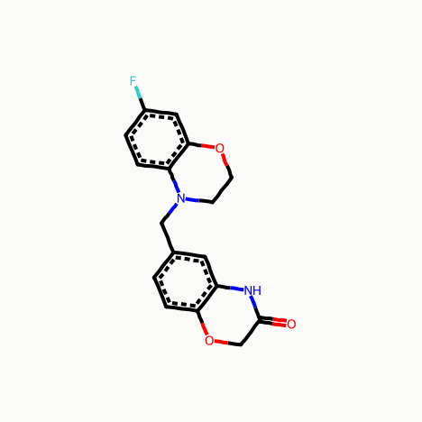 O=C1COc2ccc(CN3CCOc4cc(F)ccc43)cc2N1